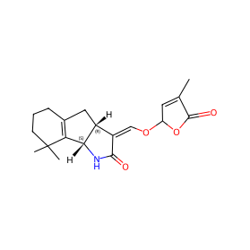 CC1=CC(OC=C2C(=O)N[C@@H]3C4=C(CCCC4(C)C)C[C@H]23)OC1=O